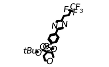 CC(C)(C)OC(=O)C1(S(=O)(=O)c2ccc(-c3cnc(CCC(F)(F)C(F)(F)F)cn3)cc2)CCOCC1